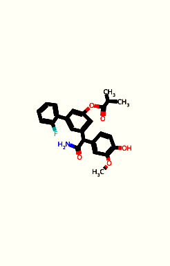 COc1cc(C(C(N)=O)c2cc(OC(=O)C(C)C)cc(-c3ccccc3F)c2)ccc1O